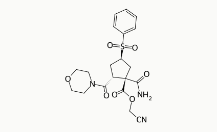 N#CCOC(=O)[C@]1(C(N)=O)C[C@H](S(=O)(=O)c2ccccc2)C[C@H]1C(=O)N1CCOCC1